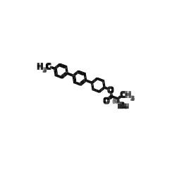 CCC(C)[C@H](C)C(=O)OC1CCC(c2ccc(-c3ccc(C)cc3)cc2)CC1